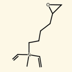 C=C[Si](C)(C=C)CCCCC1CO1